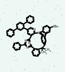 CC(C)(C)c1ccc2c(c1)c1cc3ccc1n2-c1ncc(-c2cc(-c4ccccc4)ccc2-c2ccccc2)cc1-c1nc(-c2ccccc2)nc(n1)-c1ccccc1C3(C)C